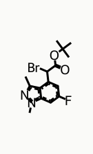 Cc1nn(C)c2cc(F)cc(C(Br)C(=O)OC(C)(C)C)c12